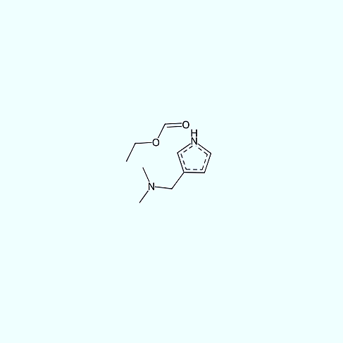 CCOC=O.CN(C)Cc1cc[nH]c1